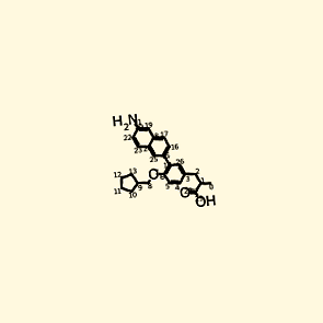 CC(Cc1ccc(OCC2CCCC2)c(-c2ccc3cc(N)ccc3c2)c1)C(=O)O